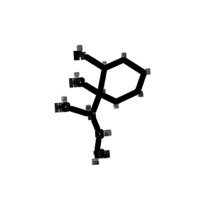 CC(C)C1CCCCC1(O)N(O)OC(C)(C)C